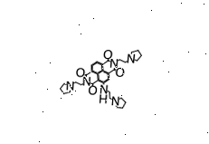 O=C1c2ccc3c4c(c(NCCN5CCCC5)cc(c24)C(=O)N1CCN1CCCC1)C(=O)N(CCN1CCCC1)C3=O